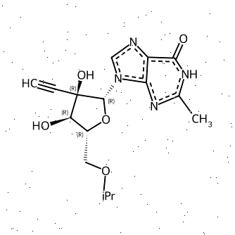 C#C[C@@]1(O)[C@H](O)[C@@H](COC(C)C)O[C@H]1n1cnc2c(=O)[nH]c(C)nc21